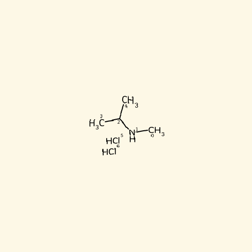 CNC(C)C.Cl.Cl